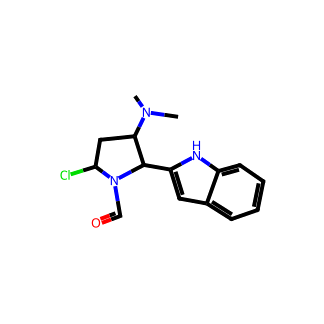 CN(C)C1CC(Cl)N(C=O)C1c1cc2ccccc2[nH]1